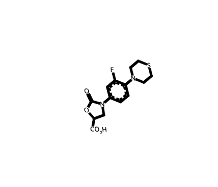 O=C(O)C1CN(c2ccc(N3CCSCC3)c(F)c2)C(=O)O1